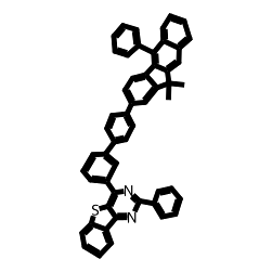 CC1(C)c2cc(-c3ccc(-c4cccc(-c5nc(-c6ccccc6)nc6c5sc5ccccc56)c4)cc3)ccc2-c2c1cc1ccccc1c2-c1ccccc1